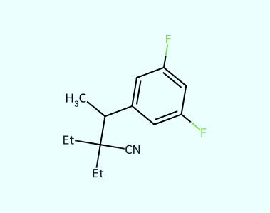 CCC(C#N)(CC)C(C)c1cc(F)cc(F)c1